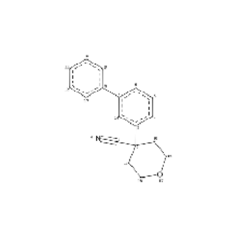 N#CC1(c2cccc(-c3ccccc3)c2)CCOCC1